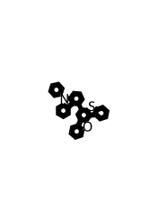 c1ccc(-n2c3ccccc3c3c(-c4cc5c6ccccc6oc5c5c4sc4ccccc45)cccc32)cc1